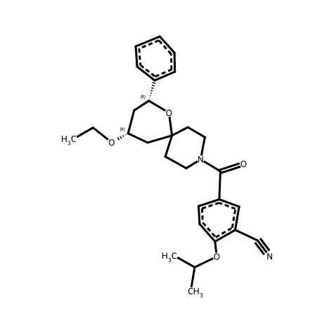 CCO[C@@H]1C[C@H](c2ccccc2)OC2(CCN(C(=O)c3ccc(OC(C)C)c(C#N)c3)CC2)C1